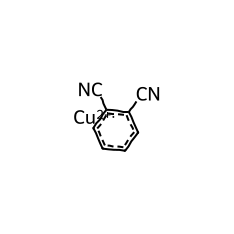 N#Cc1ccccc1C#N.[Cu+2]